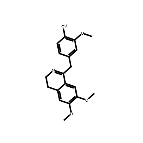 COc1cc(CC2=NCCc3cc(OC)c(OC)cc32)ccc1O